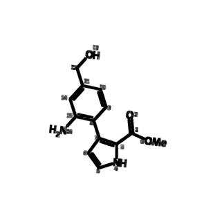 COC(=O)c1[nH]ccc1-c1ccc(CO)cc1N